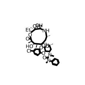 CC[C@H]1OC(=O)[C@H](C)[C@@H](O)[C@H](C)[C@@H](O[C@@H]2O[C@H](C)C[C@H](N(C)C(=O)N(C)c3ccccc3)[C@H]2Oc2ccc(Cl)cc2)[C@](C)(O)C[C@@H](C)CN[C@H](C)[C@@H](O)[C@]1(C)O